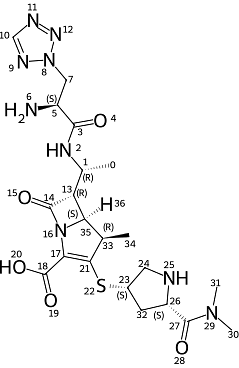 C[C@@H](NC(=O)[C@@H](N)Cn1ncnn1)[C@H]1C(=O)N2C(C(=O)O)=C(S[C@@H]3CN[C@H](C(=O)N(C)C)C3)[C@H](C)[C@H]12